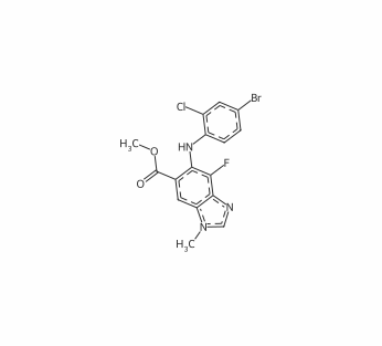 COC(=O)c1cc2c(ncn2C)c(F)c1Nc1ccc(Br)cc1Cl